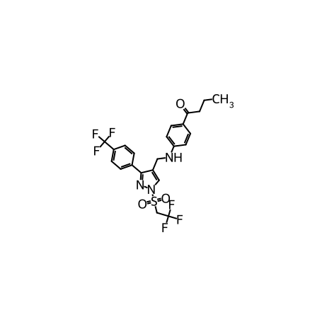 CCCC(=O)c1ccc(NCc2cn(S(=O)(=O)CC(F)(F)F)nc2-c2ccc(C(F)(F)F)cc2)cc1